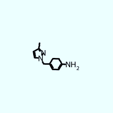 Cc1ccn(CC2=CC=C(N)CC2)n1